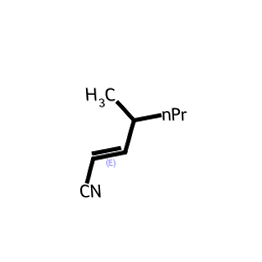 CCCC(C)/C=C/C#N